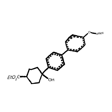 CCCCCCOc1ccc(-c2ccc(C3(O)CCC(C(=O)OCC)CC3)cc2)cc1